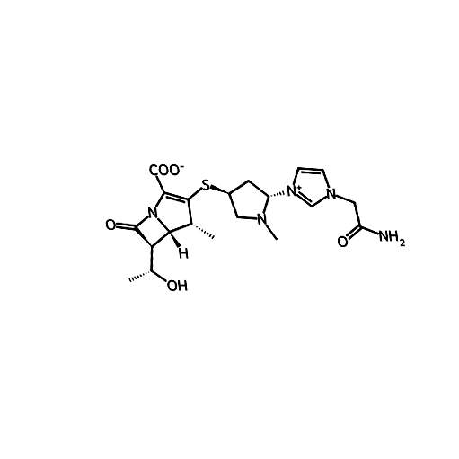 C[C@@H](O)[C@H]1C(=O)N2C(C(=O)[O-])=C(S[C@H]3C[C@H]([n+]4ccn(CC(N)=O)c4)N(C)C3)[C@H](C)[C@H]12